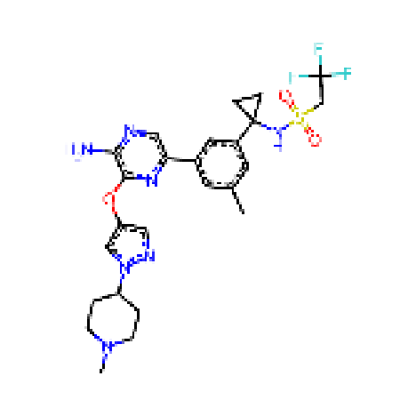 Cc1cc(-c2cnc(N)c(Oc3cnn(C4CCN(C)CC4)c3)n2)cc(C2(NS(=O)(=O)CC(F)(F)F)CC2)c1